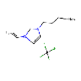 C=CN1C=CN(CCCCCCCCCCCC)C1.F[B-](F)(F)F